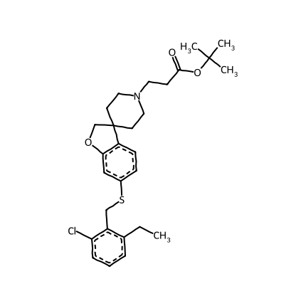 CCc1cccc(Cl)c1CSc1ccc2c(c1)OCC21CCN(CCC(=O)OC(C)(C)C)CC1